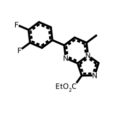 CCOC(=O)c1ncn2c(C)cc(-c3ccc(F)c(F)c3)nc12